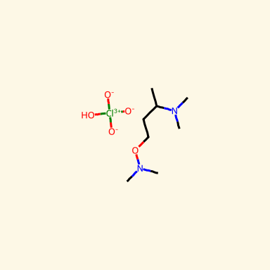 CC(CCON(C)C)N(C)C.[O-][Cl+3]([O-])([O-])O